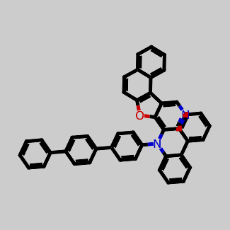 c1ccc(-c2ccc(-c3ccc(N(c4ccccc4-c4ccccc4)c4cncc5c4oc4ccc6ccccc6c45)cc3)cc2)cc1